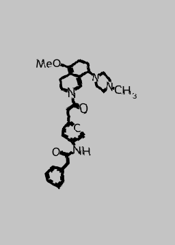 COC1=C2CCN(C(=O)Cc3ccc(NC(=O)Cc4ccccc4)cc3)C=C2C(N2CCN(C)CC2)CC1